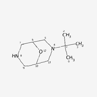 CC(C)(C)N1CC2CNCC(C1)O2